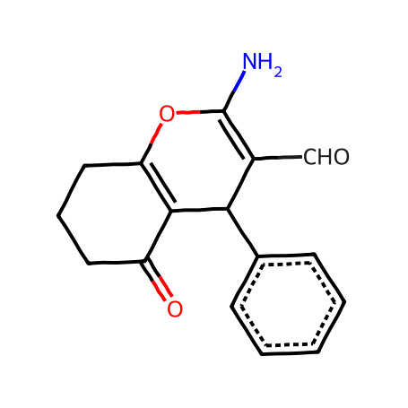 NC1=C(C=O)C(c2ccccc2)C2=C(CCCC2=O)O1